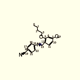 CCCCOc1cc(OC)ccc1/C=N/c1ccc(C#N)cc1